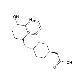 CCN(C[C@H]1CC[C@H](CC(=O)O)CC1)c1cccnc1CO